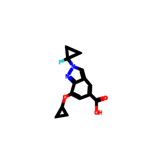 O=C(O)c1cc(OC2CC2)c2nn(C3(F)CC3)cc2c1